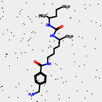 NCc1ccc(C(=O)NCCCCC(NC(=O)NC(CCC(=O)O)C(=O)O)C(=O)O)cc1